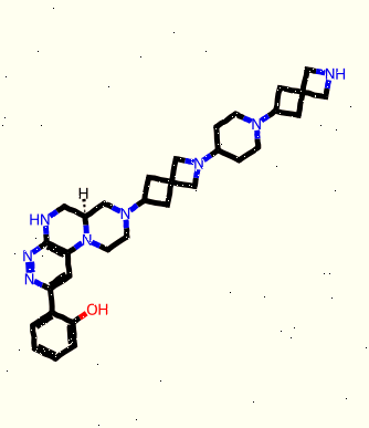 Oc1ccccc1-c1cc2c(nn1)NC[C@H]1CN(C3CC4(C3)CN(C3CCN(C5CC6(CNC6)C5)CC3)C4)CCN21